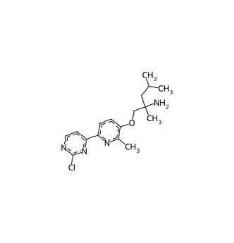 Cc1nc(-c2ccnc(Cl)n2)ccc1OCC(C)(N)CC(C)C